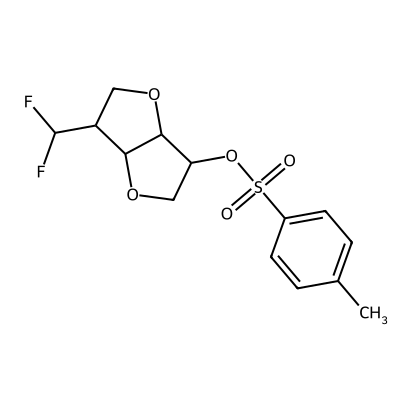 Cc1ccc(S(=O)(=O)OC2COC3C(C(F)F)COC23)cc1